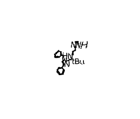 CC(C)(C)C(NCCCc1ncc[nH]1)c1nc(-c2ccccc2)cn1Cc1ccccc1